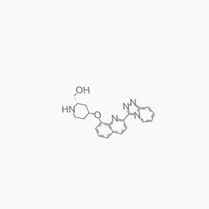 OC[C@@H]1C[C@@H](Oc2cccc3ccc(-c4nnc5ccccn45)nc23)CCN1